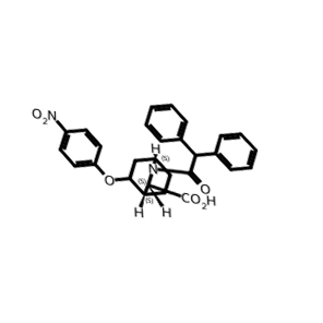 O=C(O)[C@@H]1[C@@H]2CC[C@@H](CC2Oc2ccc([N+](=O)[O-])cc2)N1C(=O)C(c1ccccc1)c1ccccc1